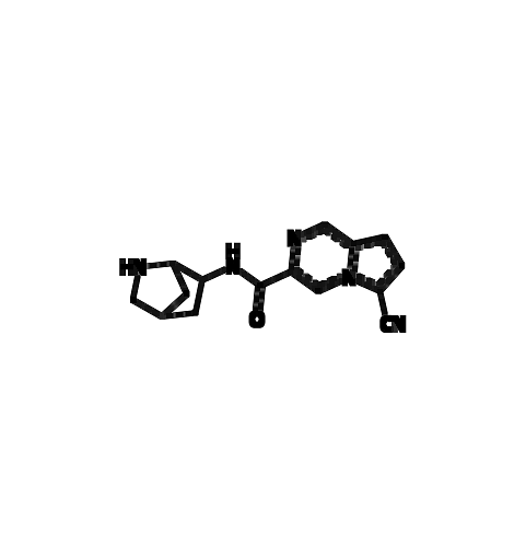 N#Cc1ccc2cnc(C(=O)NC3CC4CNC3C4)cn12